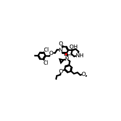 CCCOc1cc(CCCOC)cc(CN(C(=O)[C@H]2CNCC[C@]2(O)c2ccn(CCOCc3c(Cl)cc(C)cc3Cl)c(=O)c2)C2CC2)c1